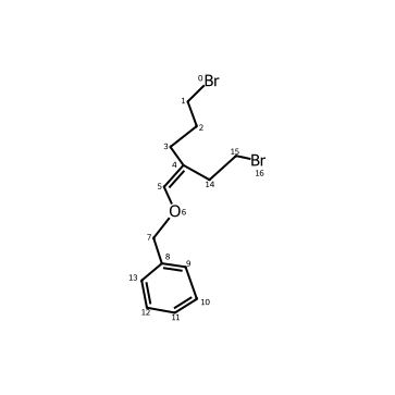 BrCCC/C(=C/OCc1ccccc1)CCBr